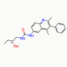 CC[C@@H](O)CNC(=O)Nc1ccc2nc(C)c(-c3ccccc3)c(C)c2c1